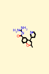 CC1C=C(c2cccnc2)c2cc(C(=O)N=C(N)N)ccc2O1